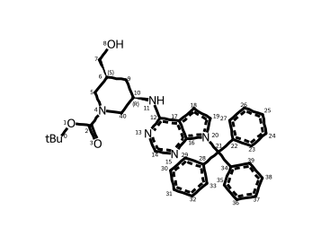 CC(C)(C)OC(=O)N1C[C@@H](CO)C[C@@H](Nc2ncnc3c2ccn3C(c2ccccc2)(c2ccccc2)c2ccccc2)C1